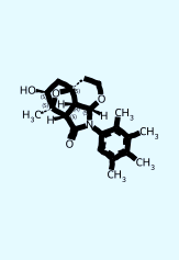 Cc1cc(N2C(=O)[C@H]3[C@H]4[C@@H]2OCC[C@]42C[C@H](O)[C@@]3(C)O2)c(C)c(C)c1C